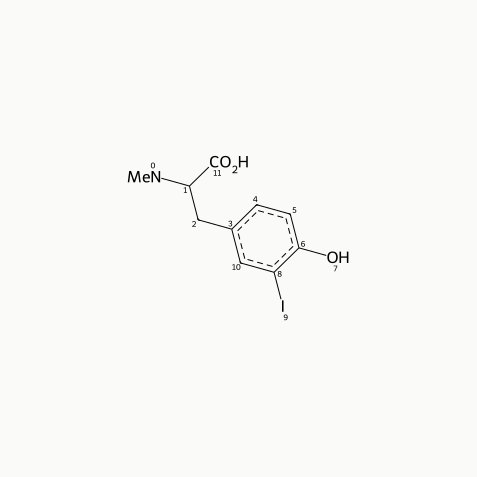 CNC(Cc1ccc(O)c(I)c1)C(=O)O